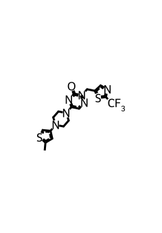 Cc1cc(N2CCN(c3cnn(Cc4cnc(C(F)(F)F)s4)c(=O)n3)CC2)cs1